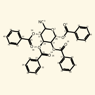 N#CC1O[C@H](OC(=O)c2ccccc2)C(OC(=O)c2ccccc2)[C@@H](OC(=O)c2ccccc2)[C@@H]1OC(=O)c1ccccc1